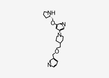 c1cncc(COCCC2CCN(c3cncc(OC[C@@H]4CCCN4)c3)CC2)c1